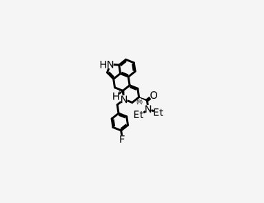 CCN(CC)C(=O)[C@@H]1C=C2c3cccc4[nH]cc(c34)C[C@H]2N(Cc2ccc(F)cc2)C1